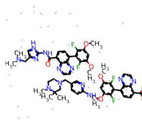 CN1CCN(Cc2ccc(N)nc2)CC1(C)C.COc1cc(OC)c(F)c(-c2ccc(C(=O)Nc3nc(CN(C)C)c[nH]3)c3nccnc23)c1F.COc1cc(OC)c(F)c(-c2ccc(C(=O)O)c3nccnc23)c1F